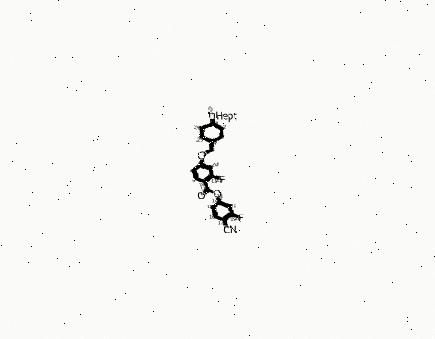 CCCCCCCC1CCC(COc2ccc(C(=O)Oc3ccc(C#N)c(F)c3)c(F)c2)CC1